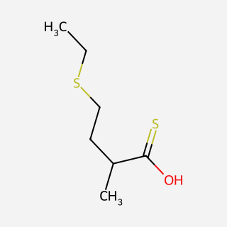 CCSCCC(C)C(O)=S